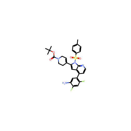 Cc1ccc(S(=O)(=O)n2c(C3=CCN(C(=O)OC(C)(C)C)CC3)cc3c(-c4cc(N)c(F)cc4F)ccnc32)cc1